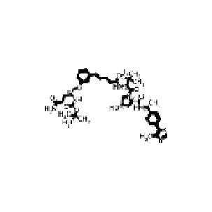 Cc1ncsc1-c1ccc([C@H](C)NC(=O)[C@@H]2C[C@@H](O)CN2C(=O)[C@@H](NC(=O)CCCCc2cccc(OC[C@H](CCC(N)=O)NC(=O)OC(C)(C)C)c2)C(C)(C)C)cc1